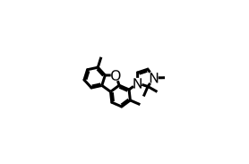 Cc1ccc2c(oc3c(C)cccc32)c1N1C=CN(C)C1(C)C